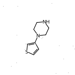 [c]1sccc1N1CCNCC1